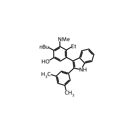 CCCCc1c(O)cc(-c2c(-c3cc(C)cc(C)c3)[nH]c3ccccc23)c(CC)c1NC